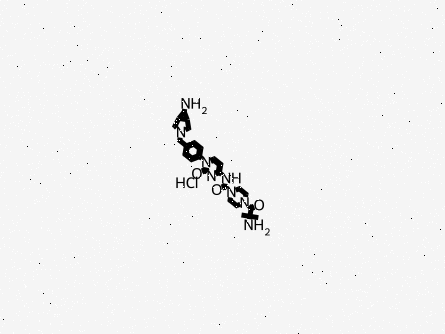 CC(C)(N)C(=O)N1CCN(C(=O)Nc2ccn(-c3ccc(CN4CC5C(N)C5C4)cc3)c(=O)n2)CC1.Cl